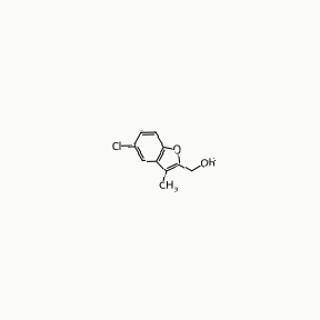 Cc1c(CO)oc2ccc(Cl)cc12